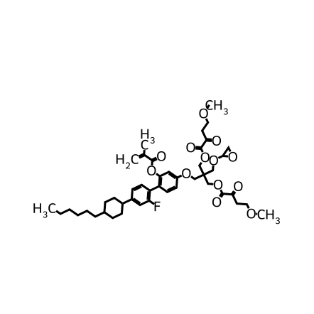 C=C(C)C(=O)Oc1cc(OCC(COC(=O)C(=O)CCOC)(COC(=O)C(=O)CCOC)COC2CO2)ccc1-c1ccc(C2CCC(CCCCCC)CC2)cc1F